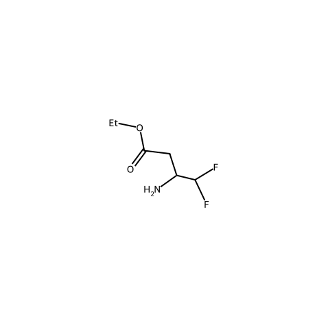 CCOC(=O)CC(N)C(F)F